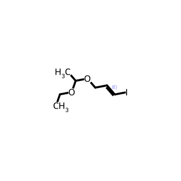 CCOC(C)OC/C=C/I